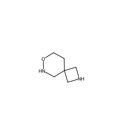 C1CC2(CNC2)CNO1